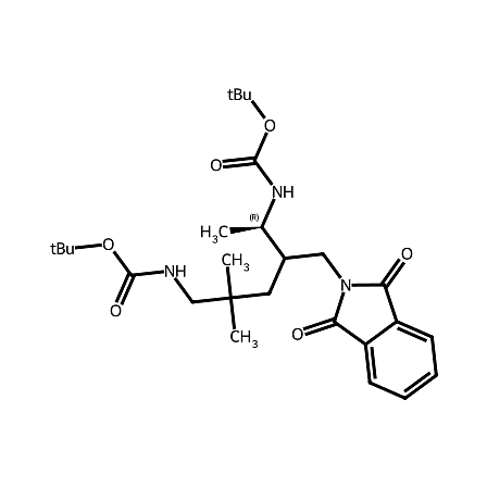 C[C@@H](NC(=O)OC(C)(C)C)C(CN1C(=O)c2ccccc2C1=O)CC(C)(C)CNC(=O)OC(C)(C)C